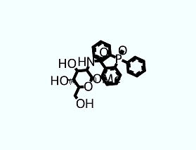 CO[C@@H]1OC(CO)[C@H](O)C(O)C1NC(=O)c1ccccc1P(=O)(c1ccccc1)c1ccccc1